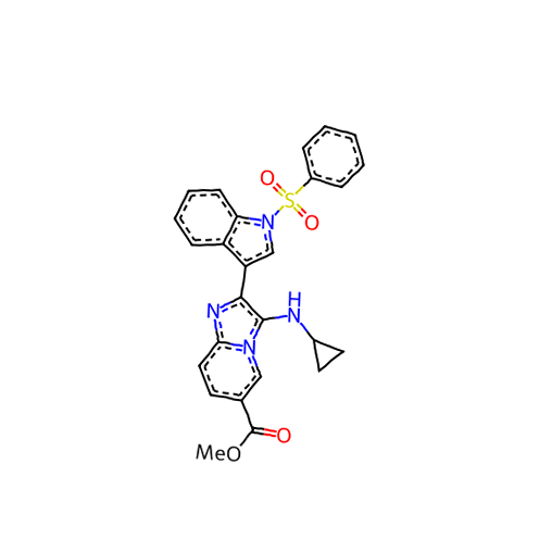 COC(=O)c1ccc2nc(-c3cn(S(=O)(=O)c4ccccc4)c4ccccc34)c(NC3CC3)n2c1